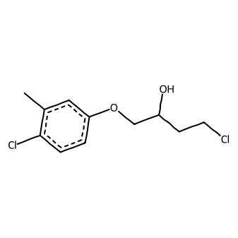 Cc1cc(OCC(O)CCCl)ccc1Cl